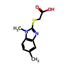 Cc1ccc2c(c1)nc(SCC(=O)O)n2C